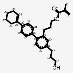 C=C(C)C(=O)OCCCc1cc(CCCO)ccc1-c1ccc(C2=CCCCC2)cc1